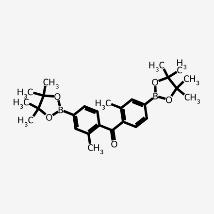 Cc1cc(B2OC(C)(C)C(C)(C)O2)ccc1C(=O)c1ccc(B2OC(C)(C)C(C)(C)O2)cc1C